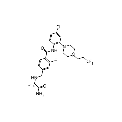 C[C@H](NCc1ccc(C(=O)Nc2ccc(Cl)cc2N2CCN(CCC(F)(F)F)CC2)c(F)c1)C(N)=O